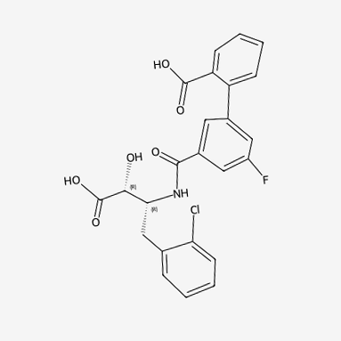 O=C(N[C@H](Cc1ccccc1Cl)[C@@H](O)C(=O)O)c1cc(F)cc(-c2ccccc2C(=O)O)c1